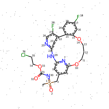 CS(=O)(Cc1cc2nc(c1)OCCCOc1cc(F)ccc1-c1cc(ncc1F)N2)=NC(=O)OCCCl